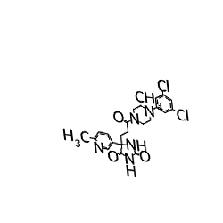 Cc1ccc(C2(CCC(=O)N3CCN(c4cc(Cl)cc(Cl)c4)[C@@H](C)C3)NC(=O)NC2=O)cn1